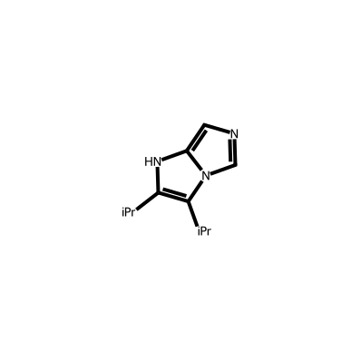 CC(C)c1[nH]c2cncn2c1C(C)C